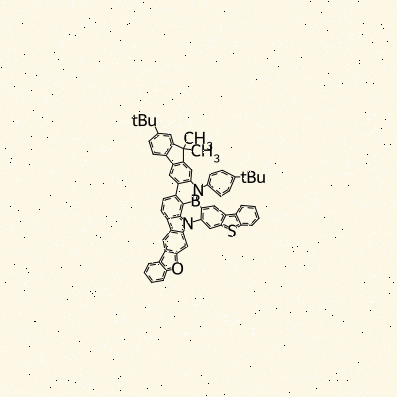 CC(C)(C)c1ccc(N2B3c4cc5c(cc4-n4c6cc7oc8ccccc8c7cc6c6ccc(c3c64)-c3cc4c(cc32)C(C)(C)c2cc(C(C)(C)C)ccc2-4)sc2ccccc25)cc1